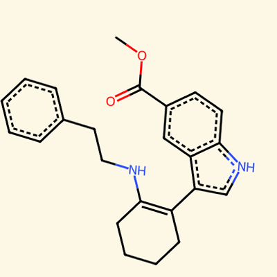 COC(=O)c1ccc2[nH]cc(C3=C(NCCc4ccccc4)CCCC3)c2c1